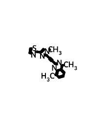 Cc1nc(C#Cc2nc(-c3nccs3)cn2C)nc2c(C)cccc12